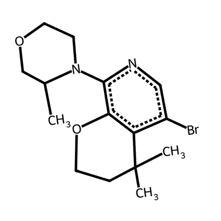 CC1COCCN1c1ncc(Br)c2c1OCCC2(C)C